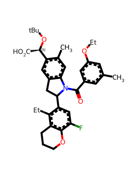 CCOc1cc(C)cc(C(=O)N2c3cc(C)c([C@H](OC(C)(C)C)C(=O)O)cc3CC2c2cc(F)c3c(c2CC)CCCO3)c1